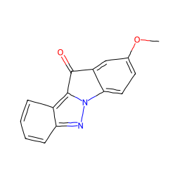 COc1ccc2c(c1)C(=O)c1c3ccccc3nn1-2